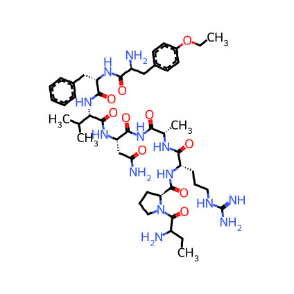 CCOc1ccc(C[C@H](N)C(=O)N[C@@H](Cc2ccccc2)C(=O)N[C@H](C(=O)N[C@@H](CC(N)=O)C(=O)NC(=O)[C@H](C)NC(=O)[C@H](CCCNC(=N)N)NC(=O)[C@@H]2CCCN2C(=O)C(N)CC)C(C)C)cc1